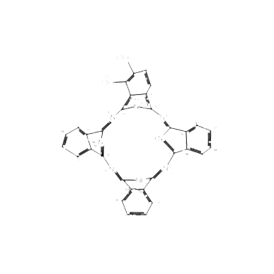 Oc1ccc2c3nc4nc(nc5[nH]c(nc6nc(nc([nH]3)c2c1O)-c1ccccc1-6)c1ccccc51)-c1ccccc1-4